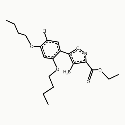 Bc1c(C(=O)OCC)noc1-c1cc(Cl)c(OCCCC)cc1OCCCC